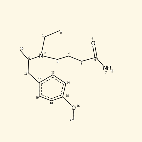 CCN(CCCC(N)=O)C(C)Cc1ccc(OC)cc1